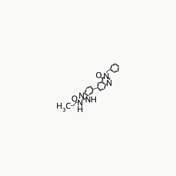 CCC(=O)Nc1nc2ccc(-c3ccc4ncn(Cc5ccccc5)c(=O)c4c3)cc2[nH]1